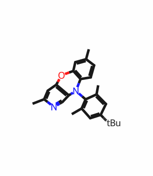 Cc1ccc2c(c1)Oc1cc(C)ncc1N2c1c(C)cc(C(C)(C)C)cc1C